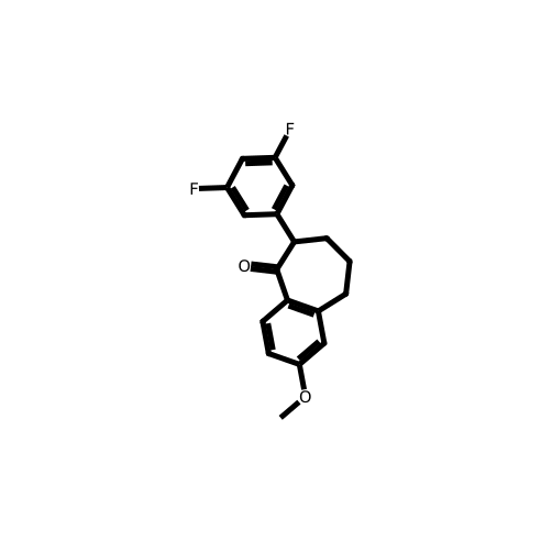 COc1ccc2c(c1)CCCC(c1cc(F)cc(F)c1)C2=O